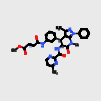 CCN1C(=O)[C@@H](NC(=O)c2nccc(C(F)(F)F)n2)[C@H](c2cccc(NC(=O)/C=C/C(=O)OC(C)(C)C)c2)c2c(C)nn(-c3ccccc3)c21